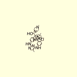 Cc1cnc(Nc2ccc(CC(O)N3CCN(C)CC3)cc2)nc1Nc1ccc(Cl)c(NS(=O)(=O)C(C)(C)C)c1